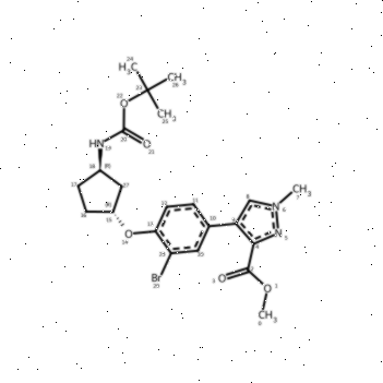 COC(=O)c1nn(C)cc1-c1ccc(O[C@@H]2CC[C@@H](NC(=O)OC(C)(C)C)C2)c(Br)c1